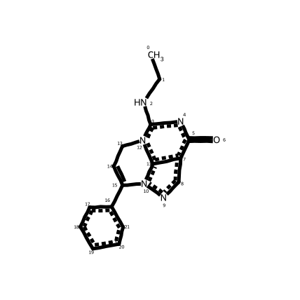 CCNc1nc(=O)c2cnn3c2n1CC=C3c1ccccc1